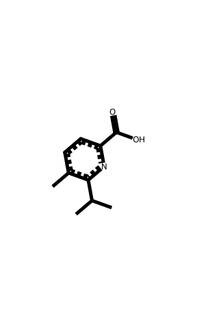 Cc1ccc(C(=O)O)nc1C(C)C